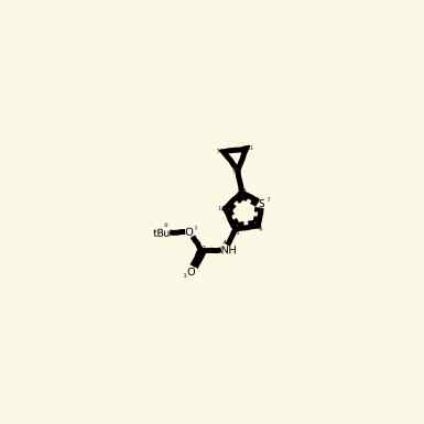 CC(C)(C)OC(=O)Nc1csc(C2CC2)c1